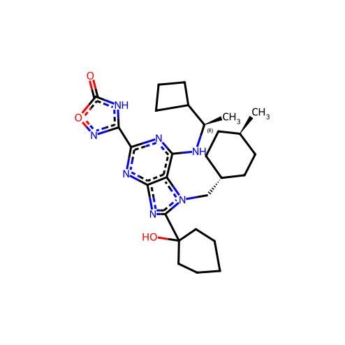 C[C@@H](Nc1nc(-c2noc(=O)[nH]2)nc2nc(C3(O)CCCCC3)n(C[C@H]3CC[C@H](C)CC3)c12)C1CCC1